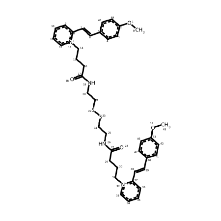 COc1ccc(/C=C/c2cccc[n+]2CCCC(=O)NCCSSCCNC(=O)CCC[n+]2ccccc2/C=C/c2ccc(OC)cc2)cc1